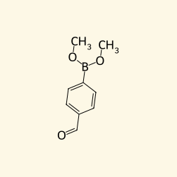 COB(OC)c1ccc(C=O)cc1